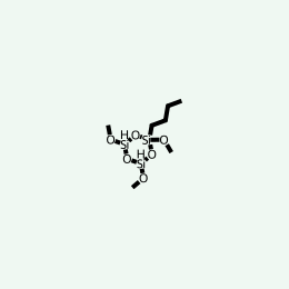 CCCC[Si]1(OC)O[SiH](OC)O[SiH](OC)O1